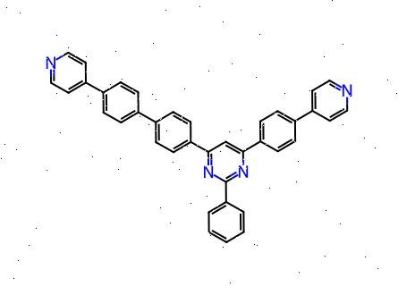 c1ccc(-c2nc(-c3ccc(-c4ccncc4)cc3)cc(-c3ccc(-c4ccc(-c5ccncc5)cc4)cc3)n2)cc1